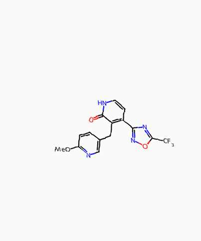 COc1ccc(Cc2c(-c3noc(C(F)(F)F)n3)cc[nH]c2=O)cn1